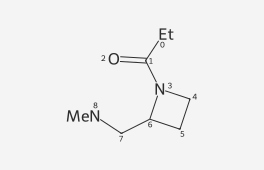 CCC(=O)N1CCC1CNC